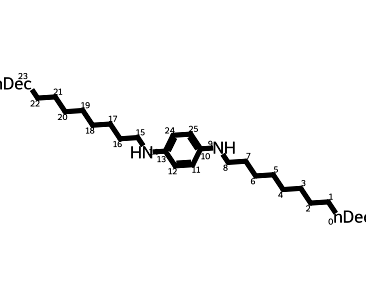 CCCCCCCCCCCCCCCCCCNc1ccc(NCCCCCCCCCCCCCCCCCC)cc1